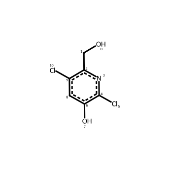 OCc1nc(Cl)c(O)cc1Cl